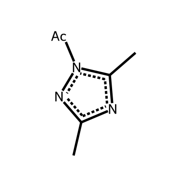 CC(=O)n1nc(C)nc1C